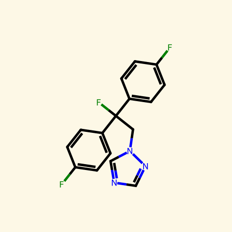 Fc1ccc(C(F)(Cn2cncn2)c2ccc(F)cc2)cc1